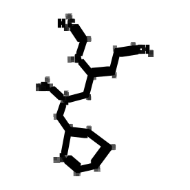 C=C/C=C(/CN(CCCC)Cc1ccccn1)SC=C